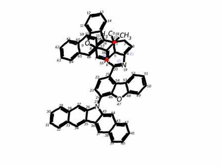 CC1C/C=C(C2C=Cc3oc4ccccc4c3C2C)/N=C(c2ccc(-n3c4cc5ccccc5cc4c4cc5ccccc5cc43)c3oc4ccccc4c23)\N=C/1c1ccc2ccccc2c1